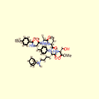 COC(=O)[C@H](CO)NC(=O)[C@H](CCCCN(C)C1CC2CCC1C2)NC(=O)[C@H](CC(C)C)NC(=O)[C@H](C)NC(=O)[C@H](Cc1ccccc1)NC(=O)c1ccc(C(C)(C)C)cc1